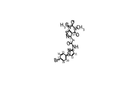 Cn1c(=O)c2c(CC(=O)Nc3ccn(-c4ccc(Br)cc4)n3)nsc2n(C)c1=O